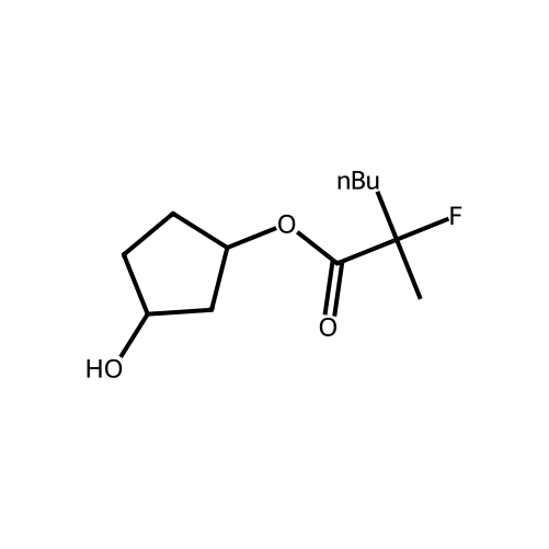 CCCCC(C)(F)C(=O)OC1CCC(O)C1